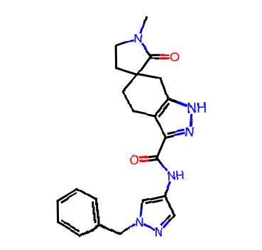 CN1CCC2(CCc3c(C(=O)Nc4cnn(Cc5ccccc5)c4)n[nH]c3C2)C1=O